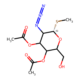 CS[C@@H]1OC(CO)C(OC(C)=O)C(OC(C)=O)C1N=[N+]=[N-]